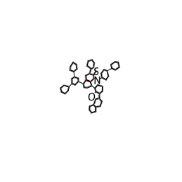 c1ccc(-c2ccc(N(c3ccc4c(oc5c6ccccc6ccc45)c3-c3ccc(-c4cc(-c5ccccc5)cc(-c5ccccc5)c4)cc3)c3cccc4c3sc3ccccc34)cc2)cc1